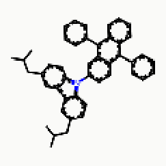 CC(C)Cc1ccc2c(c1)c1cc(CC(C)C)ccc1n2-c1ccc2c(-c3ccccc3)c3ccccc3c(-c3ccccc3)c2c1